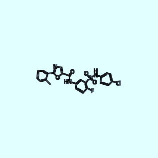 Cc1ccccc1-c1ncc(C(=O)Nc2ccc(F)c(S(=O)(=O)Nc3ccc(Cl)cc3)c2)o1